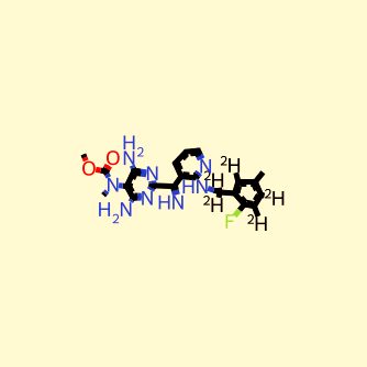 [2H]c1c([2H])c(F)c(C([2H])([2H])Nc2ncccc2C(=N)c2nc(N)c(N(C)C(=O)OC)c(N)n2)c([2H])c1C